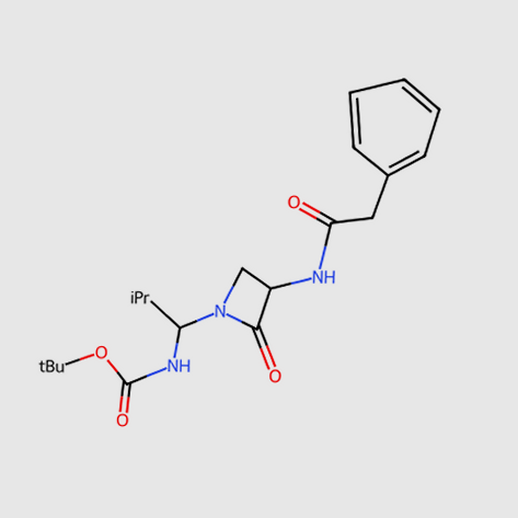 CC(C)C(NC(=O)OC(C)(C)C)N1CC(NC(=O)Cc2ccccc2)C1=O